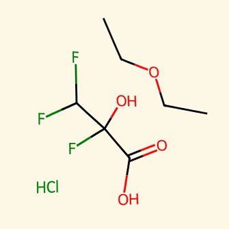 CCOCC.Cl.O=C(O)C(O)(F)C(F)F